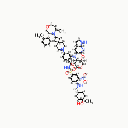 Cc1ccccc1[C@@H]1COCC[C@@H](C)N1C1CC2(CCN(c3ccc(C(=O)NS(=O)(=O)c4ccc(NC[C@H]5CC[C@](C)(O)CC5)c([N+](=O)[O-])c4)c(N4c5cc6cc[nH]c6nc5O[C@H]5COCC[C@@H]54)c3)CC2)C1